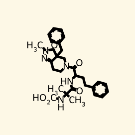 CN1N=C2CCN(C(=O)C(CCc3ccccc3)NC(=O)C(C)(C)NC(=O)O)CC2(Cc2ccccc2)C1=O